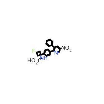 O=C(O)N[C@]1(c2ccc(-c3ncc([N+](=O)[O-])cc3-c3ccccc3)cc2)C[C@@H](F)C1